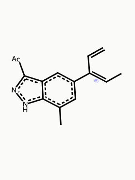 C=C/C(=C\C)c1cc(C)c2[nH]nc(C(C)=O)c2c1